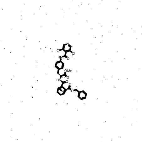 COC(=O)[C@H](Cc1ccc(NC(=O)c2c(Cl)cncc2Cl)cc1)NC(=O)C1C2CCC(CC2)N1C(=O)OCc1ccccc1